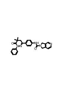 CC1(C)CC(c2ccc(NC(=O)N3Cc4ccncc4C3)cc2)=NN(c2ccccc2)C1=O